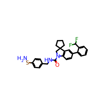 NSc1ccc(CNC(=O)N2CC3(CCCC3)c3cc(-c4ccccc4C(F)F)ccc32)cc1